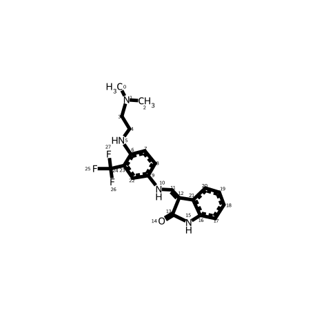 CN(C)CCNc1ccc(NC=C2C(=O)Nc3ccccc32)cc1C(F)(F)F